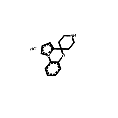 Cl.c1ccc2c(c1)OC1(CCNCC1)c1cccn1-2